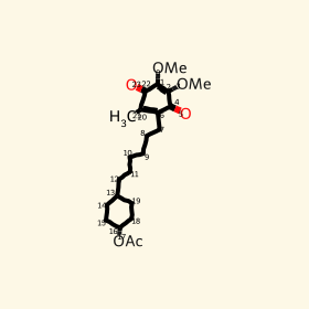 COC1=C(OC)C(=O)C(CCCCCCC2CCC(OC(C)=O)CC2)=C(C)C1=O